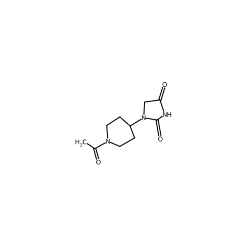 CC(=O)N1CCC(N2CC(=O)NC2=O)CC1